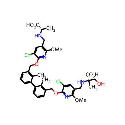 COc1nc(OCc2cccc(-c3cccc(COc4nc(OC)c(CN[C@](C)(CO)C(=O)O)cc4Cl)c3C)c2C)c(Cl)cc1CN[C@@H](C)C(=O)O